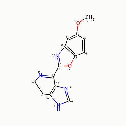 COc1ccc2oc(C3=NCCc4[nH]cnc43)nc2c1